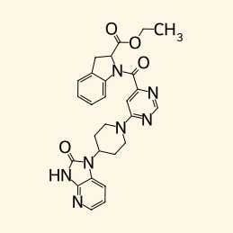 CCOC(=O)C1Cc2ccccc2N1C(=O)c1cc(N2CCC(n3c(=O)[nH]c4ncccc43)CC2)ncn1